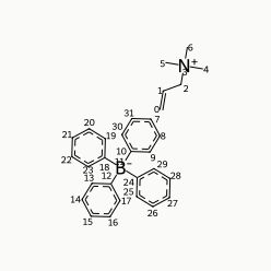 C=CC[N+](C)(C)C.c1ccc([B-](c2ccccc2)(c2ccccc2)c2ccccc2)cc1